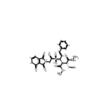 CC(C)C[C@@H](C(=O)NN)[C@@H](C(=O)OC(C)(C)C)C(/C=C/c1ccccc1)S(=O)(=O)C(=O)CN1C(=O)C2=C(C(=O)CC=C2)C1=O